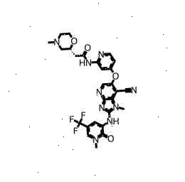 CN1CCO[C@H](CC(=O)Nc2cc(Oc3cnc4nc(Nc5cc(C(F)(F)F)cn(C)c5=O)n(C)c4c3C#N)ccn2)C1